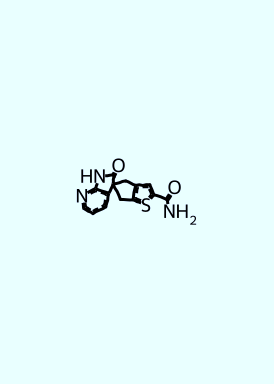 NC(=O)c1cc2c(s1)CC1(C2)C(=O)Nc2ncccc21